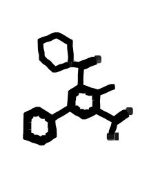 Cc1c(C(=O)O)cc(-c2ccccc2)cc1C(=O)N1CCCCC1